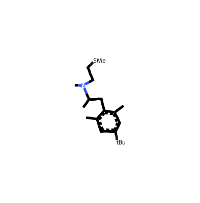 CSCCN(C)C(C)Cc1c(C)cc(C(C)(C)C)cc1C